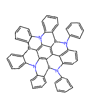 c1ccc(N2B3c4ccccc4N4c5ccccc5B5c6ccccc6N6c7ccccc7B7c8c(c3c4c5c86)-c3c2cccc3N7c2ccccc2)cc1